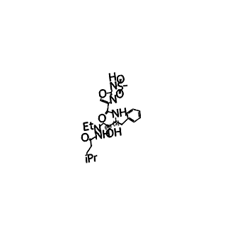 CCN(C[C@@H](O)[C@H](Cc1ccccc1)NC(=O)c1coc(NS(C)(=O)=O)n1)NC(=O)CCC(C)C